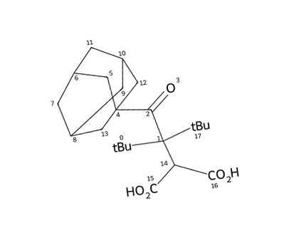 CC(C)(C)C(C(=O)C12CC3CC(CC(C3)C1)C2)(C(C(=O)O)C(=O)O)C(C)(C)C